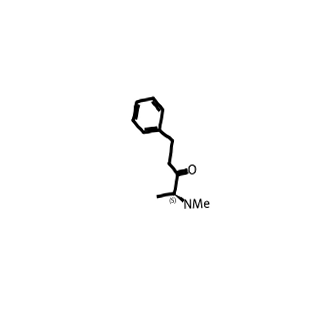 CN[C@@H](C)C(=O)CCc1ccccc1